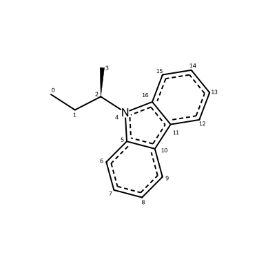 CC[C@@H](C)n1c2ccccc2c2ccccc21